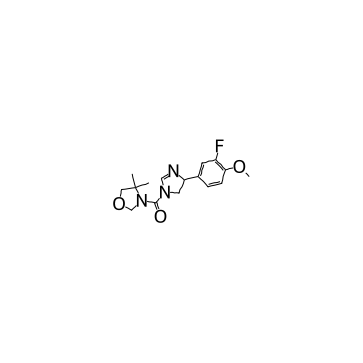 COc1ccc(C2CN(C(=O)N3COCC3(C)C)C=N2)cc1F